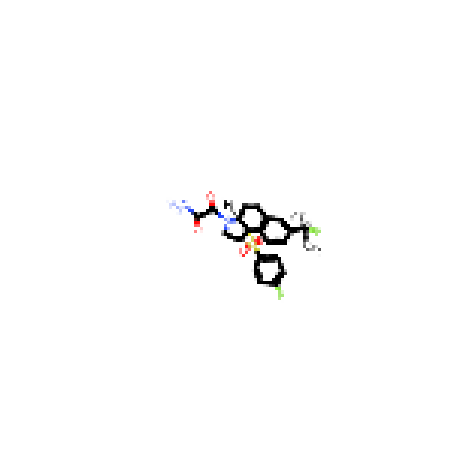 NC(=O)C(=O)N1CC[C@]2(S(=O)(=O)c3ccc(F)cc3)c3ccc(C(F)(C(F)(F)F)C(F)(F)F)cc3CC[C@H]12